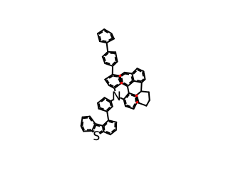 c1ccc(-c2ccc(-c3ccc(N(c4cccc(-c5cccc6sc7ccccc7c56)c4)c4ccccc4-c4cccc5cccc(C6CCCCC6)c45)cc3)cc2)cc1